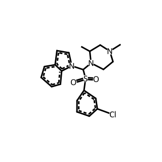 CC1CN(C)CCN1C(n1ccc2ccccc21)S(=O)(=O)c1cccc(Cl)c1